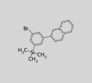 C[Si](C)(C)c1cc(Br)cc(-c2ccc3ccccc3c2)c1